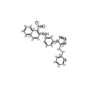 O=[N+]([O-])c1c(Nc2cccc(-n3nnnc3CCc3ccccn3)c2)ccc2ccccc12